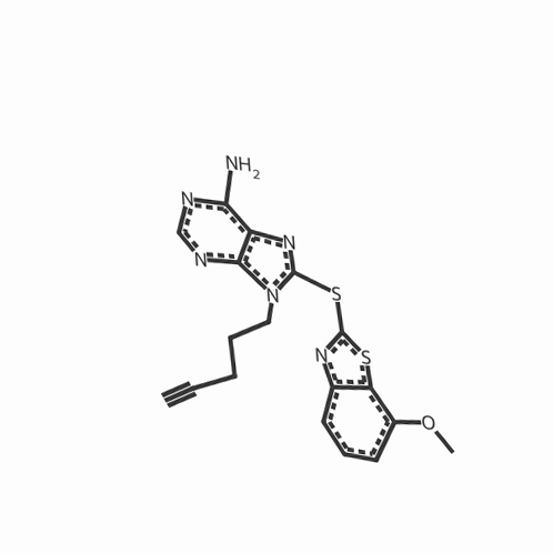 C#CCCCn1c(Sc2nc3cccc(OC)c3s2)nc2c(N)ncnc21